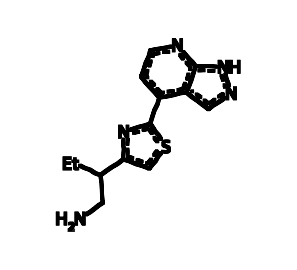 CCC(CN)c1csc(-c2ccnc3[nH]ncc23)n1